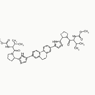 COC(=O)NC(C(=O)N1CCCC1c1ncc(-c2ccc3c(c2)CCc2cc(-c4cnc(C5CCCN5C(=O)C(NC(=O)OC)C(C)C)[nH]4)ccc2-3)[nH]1)C(C)C